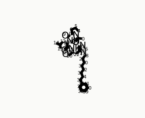 CC(=O)N1CCC[C@H]1C(=O)N[C@@H](CC(C)C)C(=O)N[C@H](C=O)Cc1cncn1CCCCCCCCc1ccccc1